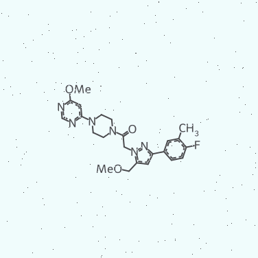 COCc1cc(-c2ccc(F)c(C)c2)nn1CC(=O)N1CCN(c2cc(OC)ncn2)CC1